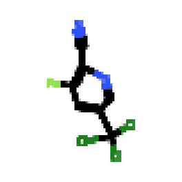 N#Cc1ncc(C(Cl)(Cl)Cl)cc1F